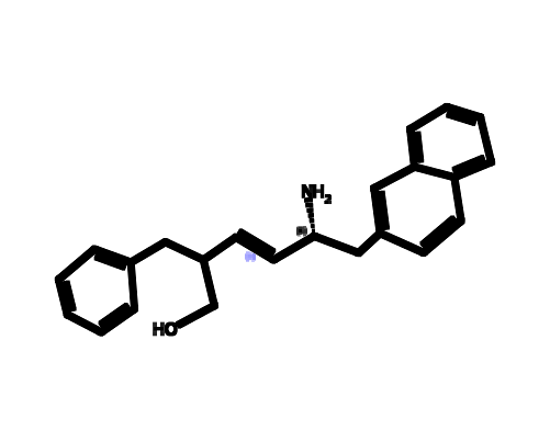 N[C@@H](/C=C/C(CO)Cc1ccccc1)Cc1ccc2ccccc2c1